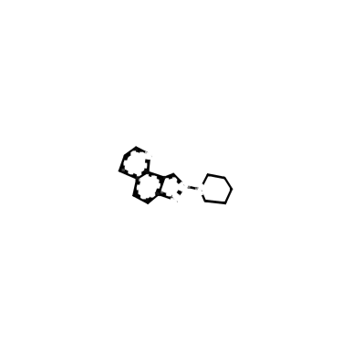 c1cnc2c(c1)ccc1nn(N3CCCCC3)cc12